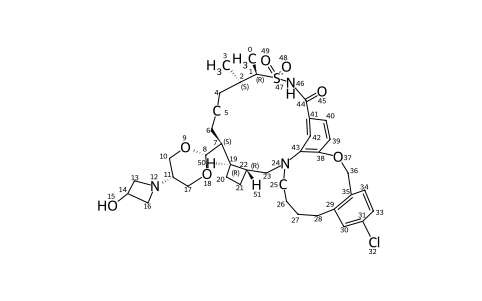 C[C@@H]1[C@@H](C)CCC[C@H]([C@H]2OC[C@@H](N3CC(O)C3)CO2)[C@@H]2CC[C@H]2CN2CCCCc3cc(Cl)ccc3COc3ccc(cc32)C(=O)NS1(=O)=O